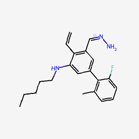 C=Cc1c(/C=N\N)cc(-c2c(C)cccc2F)cc1NCCCCC